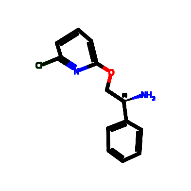 N[C@@H](COc1cccc(Cl)n1)c1ccccc1